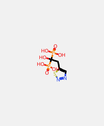 O=P(O)(O)C(O)(Cc1cnns1)P(=O)(O)O